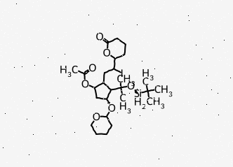 CC(=O)OC1CC(OC2CCCCO2)C(C(C)(C)O[SiH2]C(C)(C)C)C1CC(I)C1CCCC(=O)O1